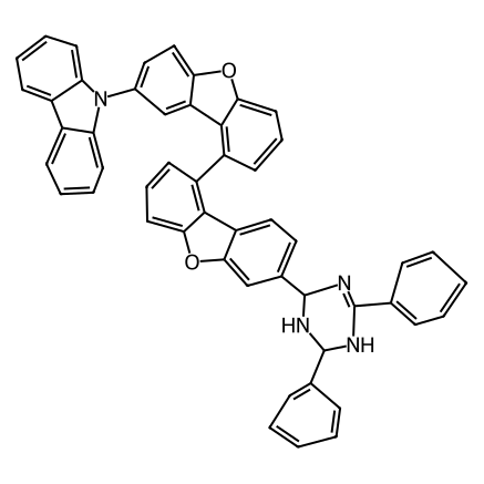 c1ccc(C2=NC(c3ccc4c(c3)oc3cccc(-c5cccc6oc7ccc(-n8c9ccccc9c9ccccc98)cc7c56)c34)NC(c3ccccc3)N2)cc1